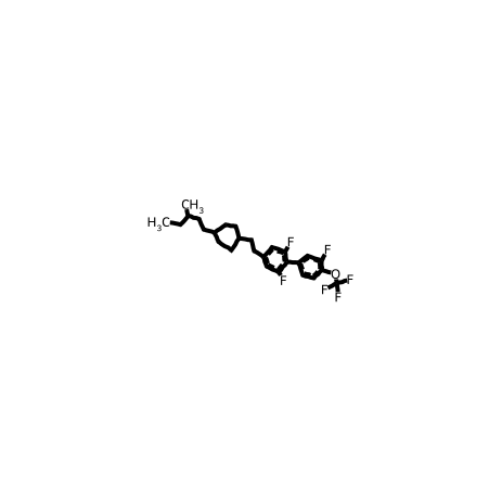 CCC(C)CCC1CCC(CCc2cc(F)c(-c3ccc(OC(F)(F)F)c(F)c3)c(F)c2)CC1